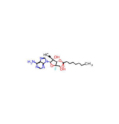 C#C[C@]1(O)[C@H](n2cnc3c(N)ncnc32)O[C@](F)(CO)[C@H]1OC(=O)CCCCCCC